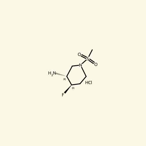 CS(=O)(=O)N1CC[C@@H](F)[C@H](N)C1.Cl